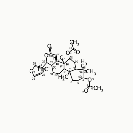 CC(=O)O[C@H]1CC[C@@]2(C)C(C[C@@H](OC(C)=O)[C@@]3(C)C4=CC(=O)OC(c5ccoc5)[C@]4(C)CCC23)C1(C)C